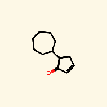 O=C1C=CCC1C1CCCCCC1